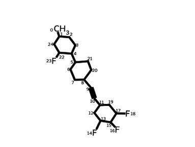 CC1CCC(C2CCC(C#CC3CC(F)C(F)C(F)C3)CC2)C(F)C1